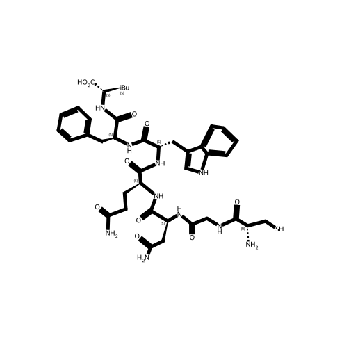 CC[C@H](C)[C@H](NC(=O)[C@H](Cc1ccccc1)NC(=O)[C@H](Cc1c[nH]c2ccccc12)NC(=O)[C@H](CCC(N)=O)NC(=O)[C@H](CC(N)=O)NC(=O)CNC(=O)[C@@H](N)CS)C(=O)O